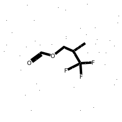 CC(COC=O)C(F)(F)F